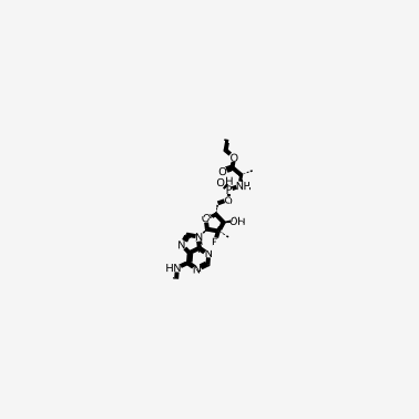 CCOC(=O)[C@H](C)N[PH](=O)OC[C@H]1O[C@@H](n2cnc3c(NC)ncnc32)[C@](C)(F)[C@@H]1O